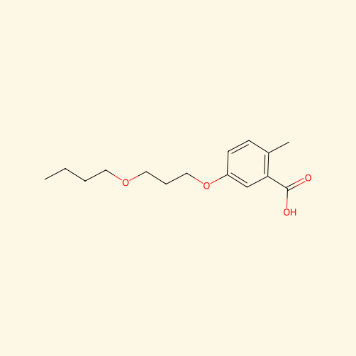 CCCCOCCCOc1ccc(C)c(C(=O)O)c1